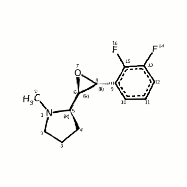 CN1CCC[C@@H]1[C@H]1O[C@@H]1c1cccc(F)c1F